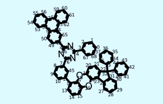 c1ccc(-c2nc(-c3cccc(-c4cccc5c4Oc4ccc6c(c4O5)-c4ccccc4C6(c4ccccc4)c4ccccc4)c3)nc(-c3ccc4c5ccccc5c5ccccc5c4c3)n2)cc1